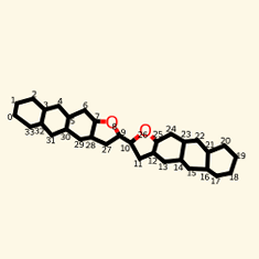 C1CCC2CC3CC4OC(C5CC6CC7CC8CCCCC8CC7CC6O5)CC4CC3CC2C1